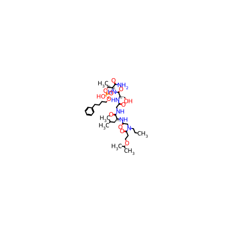 CCCN(CC(=O)N[C@@H](CC(C)C)C(=O)NCC(=O)N[C@@H](CO)C(=O)N[C@H](C(N)=O)[C@@H](C)OP(=O)(O)OCCCCc1ccccc1)C(=O)CCOC(C)C